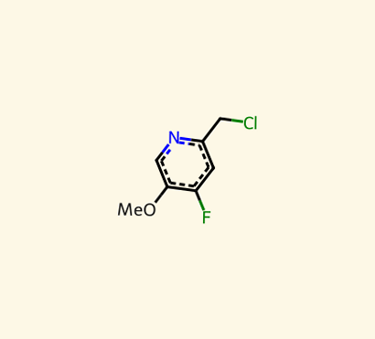 COc1cnc(CCl)cc1F